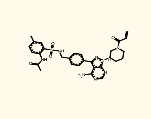 C=CC(=O)N1CCC[C@@H](n2nc(-c3ccc(CNS(=O)(=O)c4cc(C)ccc4NC(C)=O)cc3)c3c(N)ncnc32)C1